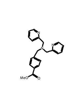 COC(=O)c1ccc(CN(Cc2ccccn2)Cc2ccccn2)cc1